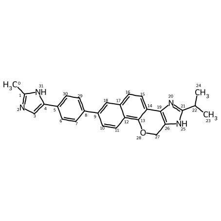 Cc1ncc(-c2ccc(-c3ccc4c5c(ccc4c3)-c3nc(C(C)C)[nH]c3CO5)cc2)[nH]1